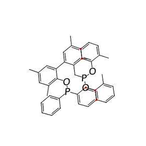 Cc1cc(C)c(CP(Oc2ccccc2C)Oc2ccccc2C)c(-c2cc(C)cc(C)c2OP(c2ccccc2)c2ccccc2)c1